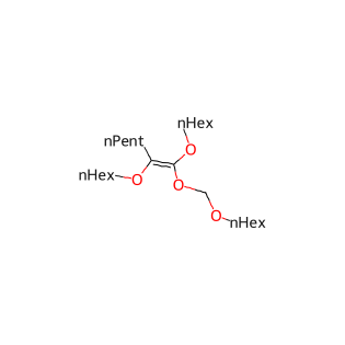 CCCCCCOCOC(OCCCCCC)=C(CCCCC)OCCCCCC